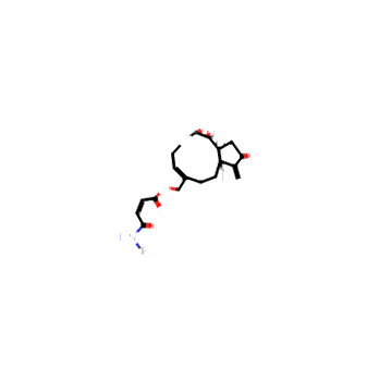 C=C1C(=O)C[C@H]2[C@H]1CC/C(COC(=O)/C=C\C(=O)NC(C)C)=C\CC[C@@]1(C)O[C@@H]21